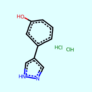 Cl.Cl.Oc1cccc(-c2cn[nH]c2)c1